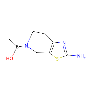 CB(O)N1CCc2nc(N)sc2C1